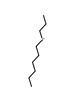 CCCCCC[I+]CCC